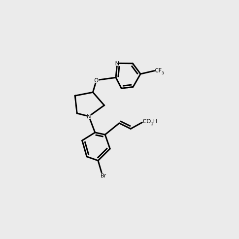 O=C(O)C=Cc1cc(Br)ccc1N1CCC(Oc2ccc(C(F)(F)F)cn2)C1